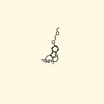 CCOCCOc1ccc2c(c1)c(C[C@H](C)N)c1n2CCC1